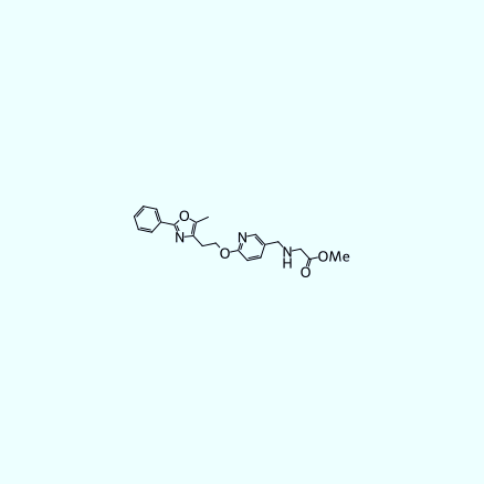 COC(=O)CNCc1ccc(OCCc2nc(-c3ccccc3)oc2C)nc1